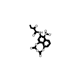 CCC(=O)C(=O)Nc1cc2c3c(cccc3c1[N+](=O)[O-])OC(=O)OC(=O)O2